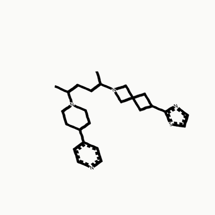 CC(CCC(C)N1CC2(CC(c3nccs3)C2)C1)N1CCC(c2ccncc2)CC1